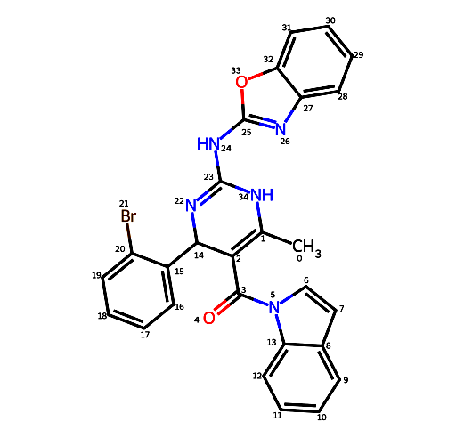 CC1=C(C(=O)n2ccc3ccccc32)C(c2ccccc2Br)N=C(Nc2nc3ccccc3o2)N1